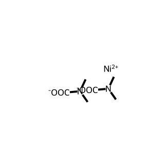 CN(C)C(=O)[O-].CN(C)C(=O)[O-].[Ni+2]